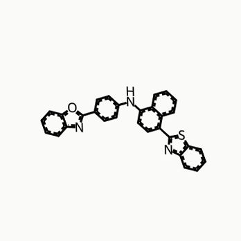 c1ccc2oc(-c3ccc(Nc4ccc(-c5nc6ccccc6s5)c5ccccc45)cc3)nc2c1